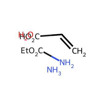 C=CC(=O)O.CCOC(N)=O.N.O